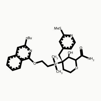 CCCCc1cc2ccccc2c(OCC[N+](C)(C)[C@@]2(Cc3ccnc(SC)c3)CCOC(C(N)=O)[C@@H]2O)n1